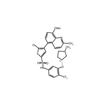 COc1ccc(-c2cc(S(=O)(=O)Nc3ccc(C(F)(F)F)c(O[C@@H]4CCN(C)C4)c3)sc2Cl)c2ccc(C)nc12